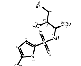 CC[C@H](C)C(NS(=O)(=O)c1ccc(Cl)s1)[C@@H](O)CC(C)C